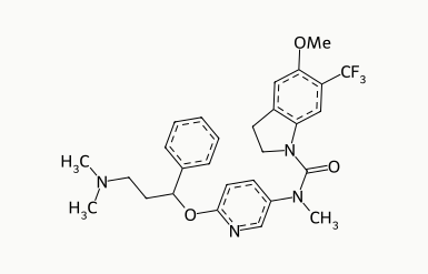 COc1cc2c(cc1C(F)(F)F)N(C(=O)N(C)c1ccc(OC(CCN(C)C)c3ccccc3)nc1)CC2